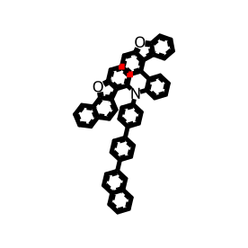 c1ccc(N(c2ccc(-c3ccc(-c4ccc5ccccc5c4)cc3)cc2)c2cccc3oc4c5ccccc5ccc4c23)c(-c2cccc3oc4ccccc4c23)c1